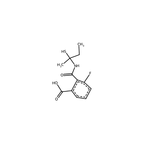 CCC(C)(S)NC(=O)c1c(F)cccc1C(=O)O